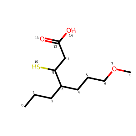 CCCC(CCCOC)C(S)CC(=O)O